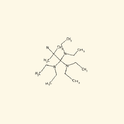 CCN(CC)C(N(CC)CC)(N(CC)CC)C(C)(C)[N]